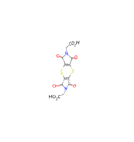 O=C(O)Cn1c(=O)c2sc3c(=O)n(CC(=O)O)c(=O)c3sc2c1=O